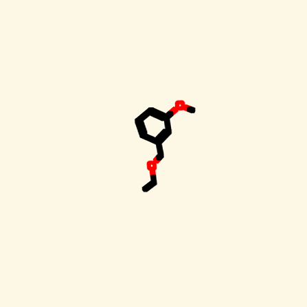 CCOCc1cccc(OC)c1